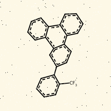 FC(F)(F)c1ccccc1-c1ccc2c3ccccc3c3ccccc3c2c1